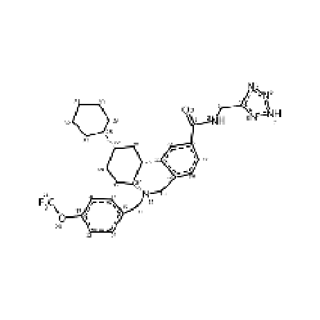 O=C(NCc1nn[nH]n1)c1ccc(CN(Cc2ccc(OC(F)(F)F)cc2)[C@H]2CC[C@@H](C3CCCCC3)CC2)cc1